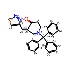 O=C1CCN(C(c2ccccc2)(c2ccccc2)c2ccccc2)C/C1=C/c1csnn1